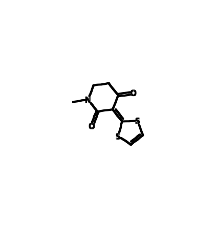 CN1CCC(=O)C(=C2SC=CS2)C1=O